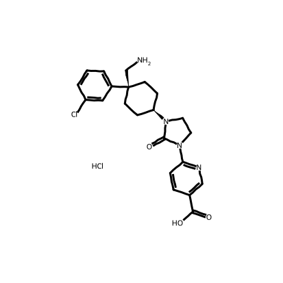 Cl.NC[C@]1(c2cccc(Cl)c2)CC[C@H](N2CCN(c3ccc(C(=O)O)cn3)C2=O)CC1